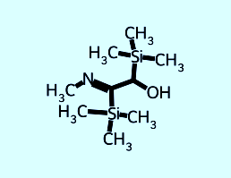 CN=C(C(O)[Si](C)(C)C)[Si](C)(C)C